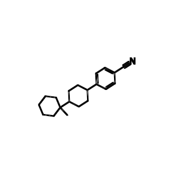 CC1(C2CCC(c3ccc(C#N)cc3)CC2)CCCCC1